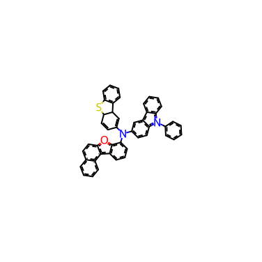 C1=CC2Sc3ccccc3C2C=C1N(c1ccc2c(c1)c1ccccc1n2-c1ccccc1)c1cccc2c1oc1ccc3ccccc3c12